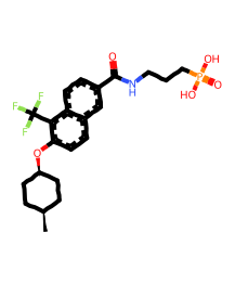 C[C@H]1CC[C@@H](Oc2ccc3cc(C(=O)NCCCP(=O)(O)O)ccc3c2C(F)(F)F)CC1